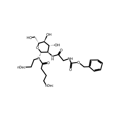 CCCCCCCCCCCCCC(=O)N(CCCCCCCCCCCC)[C@@H]1O[C@H](CO)[C@@H](O)[C@H](O)[C@H]1NC(=O)CNC(=O)OCc1ccccc1